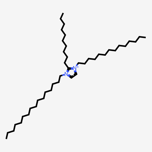 CCCCCCCCCCCCCCCCn1cc[n+](CCCCCCCCCCCCCC)c1CCCCCCCCCC